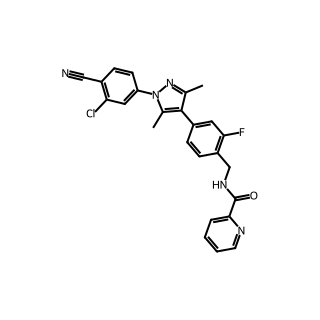 Cc1nn(-c2ccc(C#N)c(Cl)c2)c(C)c1-c1ccc(CNC(=O)c2ccccn2)c(F)c1